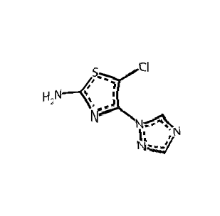 Nc1nc(-n2cncn2)c(Cl)s1